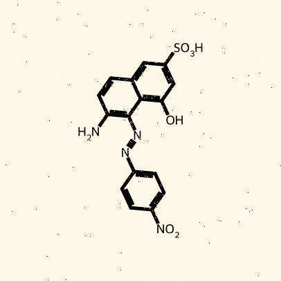 Nc1ccc2cc(S(=O)(=O)O)cc(O)c2c1N=Nc1ccc([N+](=O)[O-])cc1